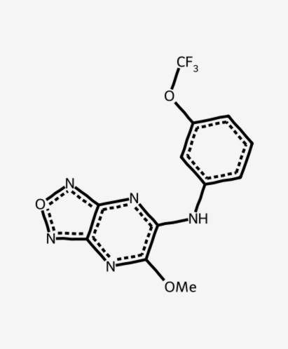 COc1nc2nonc2nc1Nc1cccc(OC(F)(F)F)c1